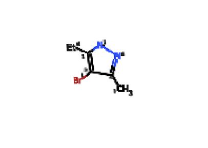 CCC1=C(Br)C(C)=N[N]1